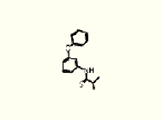 CC(C)C(=S)Nc1cccc(Oc2ccccc2)c1